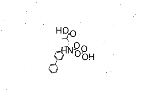 C[C@H](C[C@@H](Cc1ccc(-c2ccccc2)cc1)NC(=O)OC(=O)O)C(=O)O